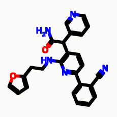 N#Cc1ccccc1-c1ccc(C(C(N)=O)c2cccnc2)c(NCCc2ccco2)n1